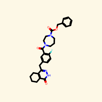 O=C(OCc1ccccc1)N1CCCN(C(=O)c2cc(Cc3n[nH]c(=O)c4c3CCCC4)ccc2F)CC1